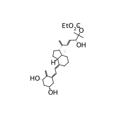 C=C(/C=C/[C@@H](O)C(C)(C)OC(=O)OCC)[C@H]1CC[C@H]2/C(=C/C=C3/C[C@@H](O)C[C@H](O)C3=C)CCC[C@]12C